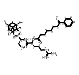 CC(C)C[C@H](NC(=O)[C@H](CCCNC(=N)N)NC(=O)CCCCCCC(=O)c1ccccc1)B1O[C@@H]2C[C@@H]3C[C@@H](C3(C)C)[C@]2(C)O1